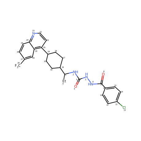 CCC(NC(=O)NNC(=O)c1ccc(Cl)cc1)C1CCC(c2ccnc3ccc(C(F)(F)F)cc23)CC1